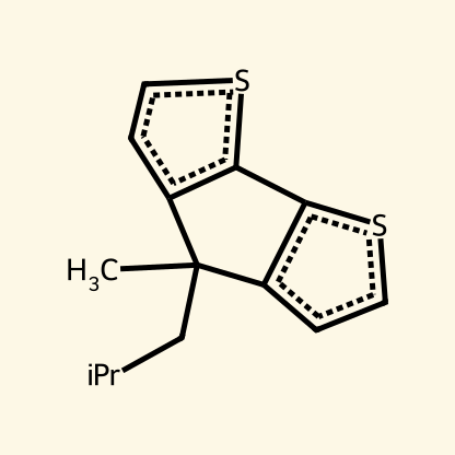 CC(C)CC1(C)c2ccsc2-c2sccc21